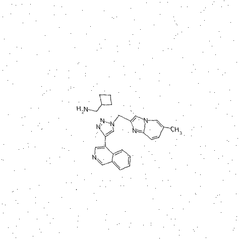 Cc1ccc2nc(Cn3cc(-c4cncc5ccccc45)nn3)cn2c1.NCC1CCC1